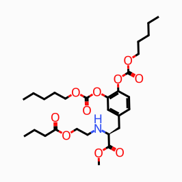 CCCCCOC(=O)Oc1ccc(C[C@H](NCCOC(=O)CCC)C(=O)OC)cc1OC(=O)OCCCCC